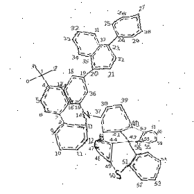 CC(C)(C)c1ccc(-c2ccccc2N(c2cccc(-c3ccc(-c4ccccc4)c4ccccc34)c2)c2ccc3c(c2)C2(c4ccccc4Sc4ccccc42)c2ccccc2-3)cc1